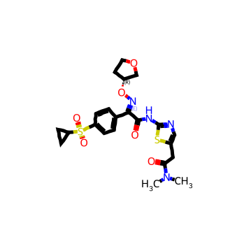 CN(C)C(=O)Cc1cnc(NC(=O)/C(=N/O[C@@H]2CCOC2)c2ccc(S(=O)(=O)C3CC3)cc2)s1